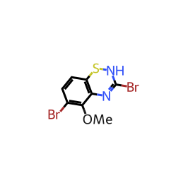 COc1c(Br)ccc2c1N=C(Br)NS2